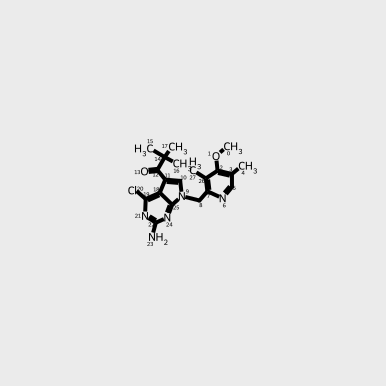 COc1c(C)cnc(Cn2cc(C(=O)C(C)(C)C)c3c(Cl)nc(N)nc32)c1C